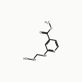 COC(=O)c1ccnc(NCNO)c1